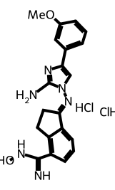 COc1cccc(-c2cn(N=C3CCc4c(C(=N)NO)cccc43)c(N)n2)c1.Cl.Cl